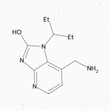 CCC(CC)n1c(O)nc2nccc(CN)c21